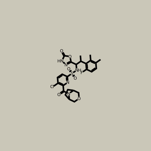 Cc1ccc(F)c(C(C)C(NS(=O)(=O)c2ccc(Cl)c(C(=O)N3C4CCC3COC4)n2)c2n[nH]c(=O)o2)c1C